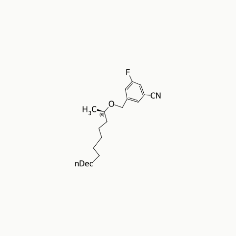 CCCCCCCCCCCCCCC[C@@H](C)OCc1cc(F)cc(C#N)c1